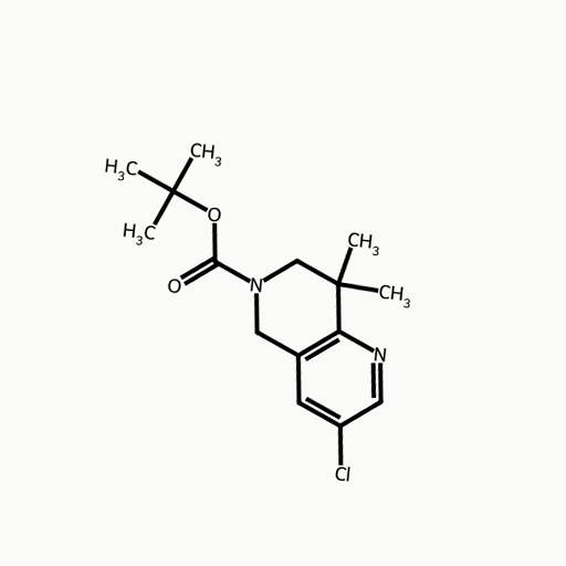 CC(C)(C)OC(=O)N1Cc2cc(Cl)cnc2C(C)(C)C1